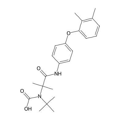 Cc1cccc(Oc2ccc(NC(=O)C(C)(C)N(C(=O)O)C(C)(C)C)cc2)c1C